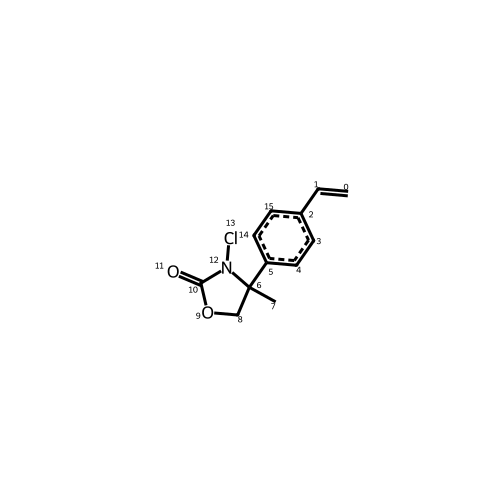 C=Cc1ccc(C2(C)COC(=O)N2Cl)cc1